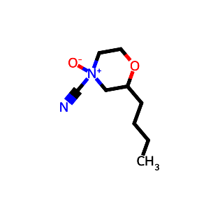 CCCCC1C[N+]([O-])(C#N)CCO1